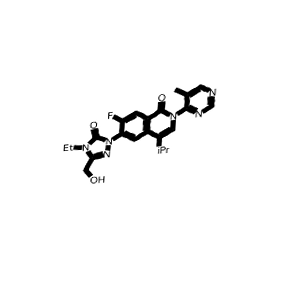 CCn1c(CO)nn(-c2cc3c(C(C)C)cn(-c4ncncc4C)c(=O)c3cc2F)c1=O